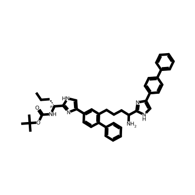 CCC[C@@H](NC(=O)OC(C)(C)C)c1nc(-c2ccc(-c3ccccc3)c(CCCC(N)c3nc(-c4ccc(-c5ccccc5)cc4)c[nH]3)c2)c[nH]1